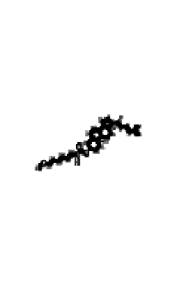 CC(C)CCC[C@@H](C)C1CCC2C3CC=C4C[C@@H](OC(=O)NCCCCCCOI)CC[C@]4(C)C3CC[C@@]21C